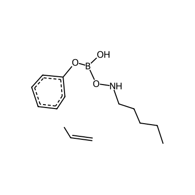 C=CC.CCCCCNOB(O)Oc1ccccc1